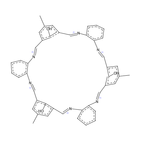 Cc1cc2c(O)c(c1)/C=N/c1ccccc1/N=C/c1cc(C)cc(c1O)/C=N/c1ccccc1/N=C/c1cc(C)cc(c1O)/C=N/c1ccccc1/N=C/2